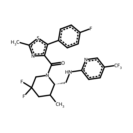 Cc1nc(C(=O)N2CC(F)(F)CC(C)[C@H]2CNc2ccc(C(F)(F)F)cn2)c(-c2ccc(F)cc2)s1